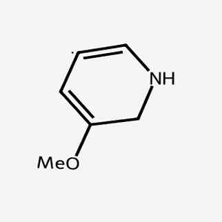 COC1=C[C]=CNC1